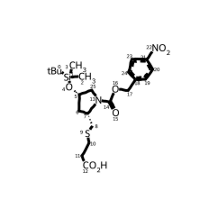 CC(C)(C)[Si](C)(C)O[C@H]1C[C@@H](CSCCC(=O)O)N(C(=O)OCc2ccc([N+](=O)[O-])cc2)C1